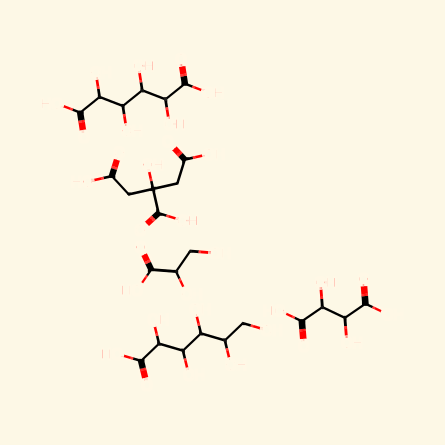 O=C(O)C(O)C(O)C(=O)O.O=C(O)C(O)C(O)C(O)C(O)C(=O)O.O=C(O)C(O)C(O)C(O)C(O)CO.O=C(O)C(O)CO.O=C(O)CC(O)(CC(=O)O)C(=O)O